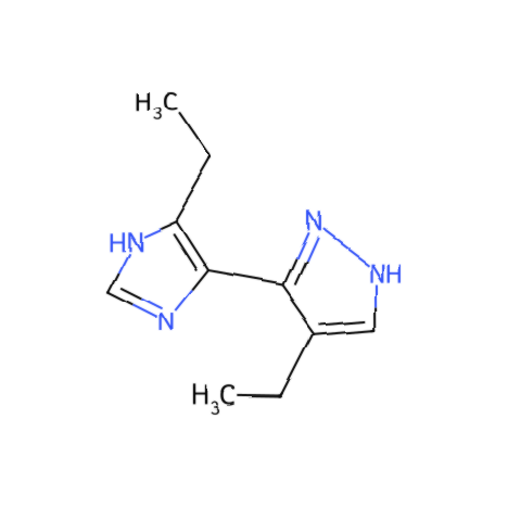 CCc1c[nH]nc1-c1nc[nH]c1CC